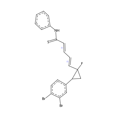 FC1(/C=C/C=C/C(=S)Nc2ccccc2)CC1c1ccc(Br)c(Br)c1